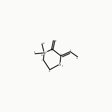 C=C1C(=CC)SCC[N+]1(C)C